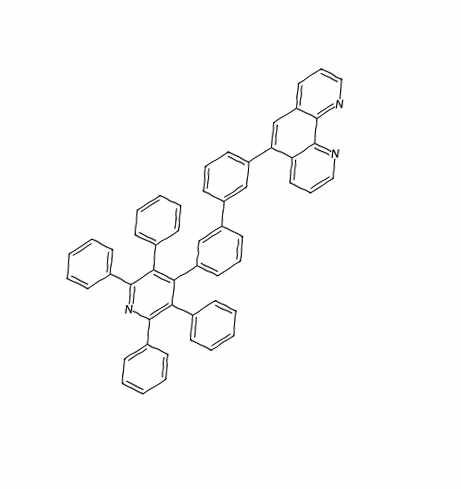 c1ccc(-c2nc(-c3ccccc3)c(-c3ccccc3)c(-c3cccc(-c4cccc(-c5cc6cccnc6c6ncccc56)c4)c3)c2-c2ccccc2)cc1